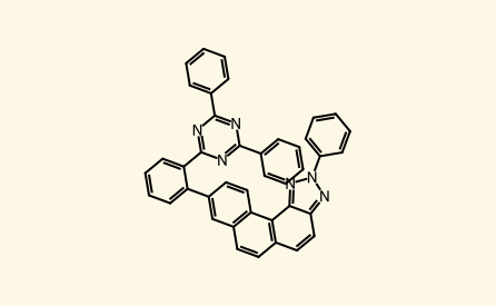 c1ccc(-c2nc(-c3ccccc3)nc(-c3ccccc3-c3ccc4c(ccc5ccc6nn(-c7ccccc7)nc6c54)c3)n2)cc1